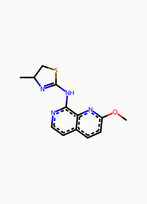 COc1ccc2ccnc(NC3=NC(C)CS3)c2n1